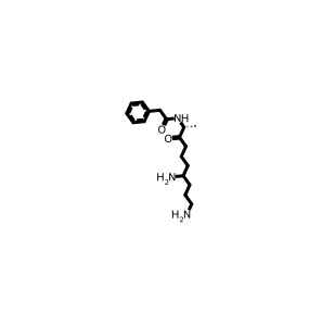 C[C@@H](NC(=O)Cc1ccccc1)C(=O)CCCC(N)CCCN